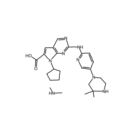 CC1(C)CN(c2ccc(Nc3ncc4cc(C(=O)O)n(C5CCCC5)c4n3)nc2)CCN1.CNC